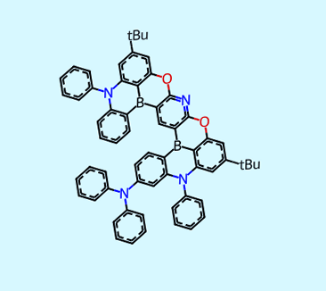 CC(C)(C)c1cc2c3c(c1)N(c1ccccc1)c1ccccc1B3c1cc3c(nc1O2)Oc1cc(C(C)(C)C)cc2c1B3c1ccc(N(c3ccccc3)c3ccccc3)cc1N2c1ccccc1